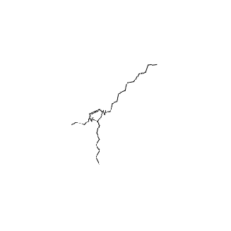 CCCCCCCCCCCN1C=CN(CCC)C1CCCCCCC